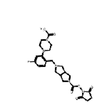 CC(=O)N1CCN(c2cc(F)ccc2CN2CC3CN(C(=O)ON4C(=O)CCC4=O)CC3C2)CC1